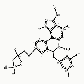 CCNc1nn(C)c2c(-c3ccc(CCC(C)(C)O[Si](C)(C)C(C)(C)C)nc3C(Cc3cc(F)cc(F)c3)NC(=O)O)ccc(Cl)c12